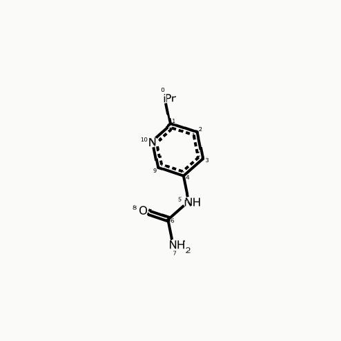 CC(C)c1ccc(NC(N)=O)cn1